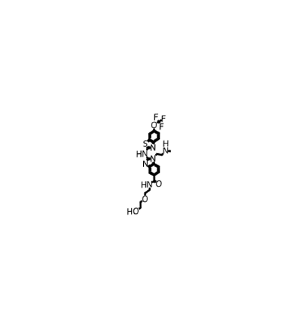 CNCCn1c(Nc2nc3ccc(OC(F)(F)F)cc3s2)nc2cc(C(=O)NCCOCCO)ccc21